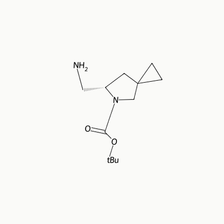 CC(C)(C)OC(=O)N1CC2(CC2)C[C@H]1CN